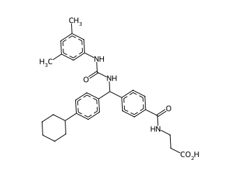 Cc1cc(C)cc(NC(=O)NC(c2ccc(C(=O)NCCC(=O)O)cc2)c2ccc(C3CCCCC3)cc2)c1